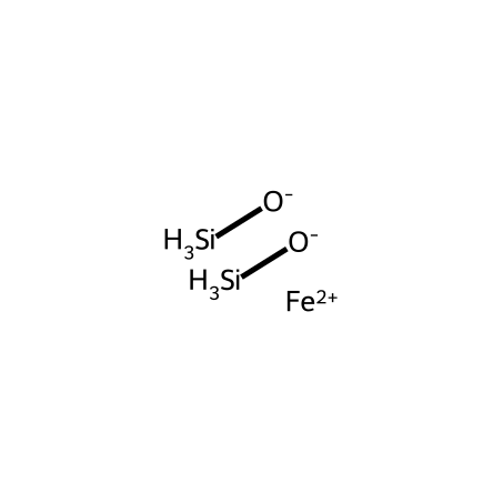 [Fe+2].[O-][SiH3].[O-][SiH3]